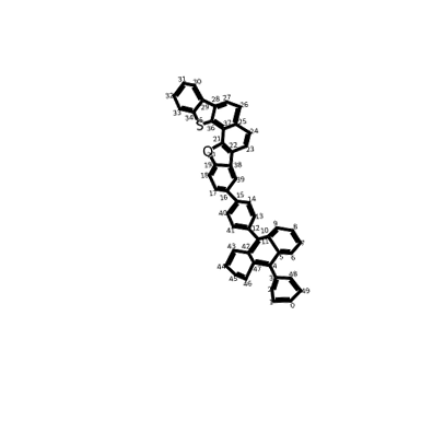 c1ccc(-c2c3ccccc3c(-c3ccc(-c4ccc5oc6c(ccc7ccc8c9ccccc9sc8c76)c5c4)cc3)c3ccccc23)cc1